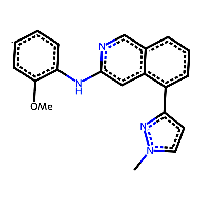 COc1c[c]ccc1Nc1cc2c(-c3ccn(C)n3)cccc2cn1